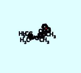 CCC[N+](CC)(CC)CCOc1ccc(C(C(=O)c2ccccc2)(c2ccccc2)C(C)Br)cc1C